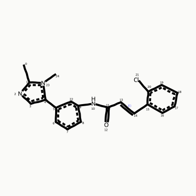 Cc1ncc(-c2cccc(NC(=O)/C=C/c3ccccc3Cl)c2)n1C